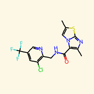 Cc1cn2c(C(=O)NCc3ncc(C(F)(F)F)cc3Cl)c(C)nc2s1